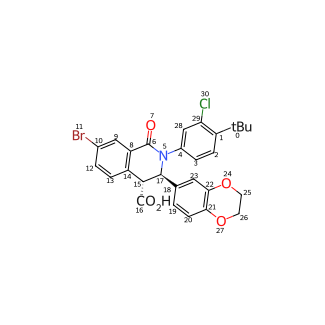 CC(C)(C)c1ccc(N2C(=O)c3cc(Br)ccc3[C@@H](C(=O)O)[C@@H]2c2ccc3c(c2)OCCO3)cc1Cl